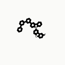 Fc1ccc2oc3ccc(-n4c5ccccc5c5cc(-c6cccc(-c7cccc(-c8ccccc8)c7)c6)ccc54)cc3c2c1